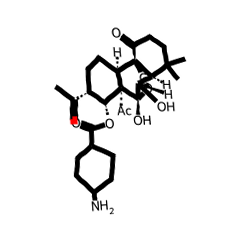 C=C(C)[C@@H]1CC[C@H]2[C@@]34CO[C@@](O)([C@@H](O)[C@@H]3C(C)(C)CCC4=O)[C@@]2(C(C)=O)[C@@H]1OC(=O)C1CCC(N)CC1